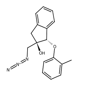 Cc1ccccc1O[C@H]1c2ccccc2C[C@@]1(O)CN=[N+]=[N-]